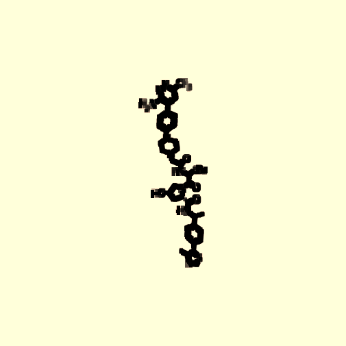 Cc1ncsc1-c1ccc([C@H](C)NC(=O)[C@@H]2C[C@@H](O)CN2C(=O)C(NC(=O)CN2CCN(c3ccc(-c4cc(C(F)(F)F)nnc4N)cc3)CC2)C(C)(C)C)cc1